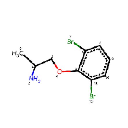 CC(N)COc1c(Br)cccc1Br